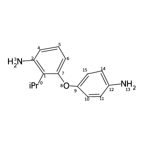 CC(C)c1c(N)cccc1Oc1ccc(N)cc1